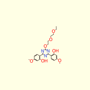 CCOCCOCCOc1nc(-c2ccc(OC)cc2O)nc(-c2ccc(OC)cc2O)n1